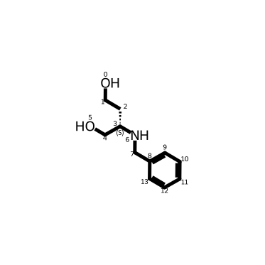 OCC[C@@H](CO)NCc1ccccc1